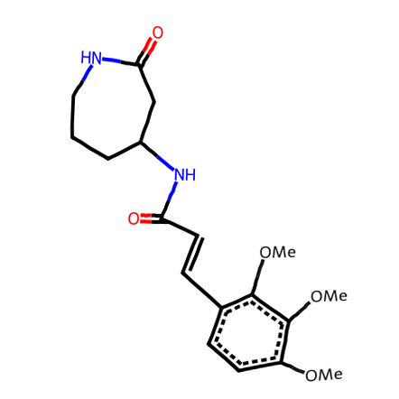 COc1ccc(C=CC(=O)NC2CCCNC(=O)C2)c(OC)c1OC